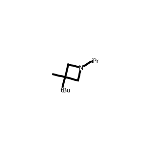 CC(C)N1CC(C)(C(C)(C)C)C1